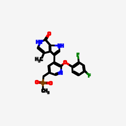 Cc1c[nH]c(=O)c2[nH]cc(-c3cc(CS(C)(=O)=O)cnc3Oc3ccc(F)cc3F)c12